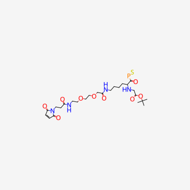 CC(C)(C)OC(=O)CNC(CCCCNC(=O)COCCOCCNC(=O)CCN1C(=O)C=CC1=O)C(=O)P=S